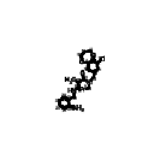 CC(C)CN(Cc1cc(Cl)c2c(c1)OCCCO2)C(=O)C(C)CNCc1ccccc1N